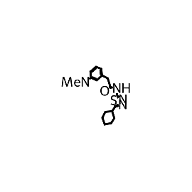 CNc1cccc(CC(=O)Nc2nnc(C3CCCCC3)s2)c1